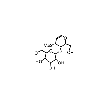 CS[C@@H]1C=COC(CO)[C@H]1OC1OC(CO)C(O)C(O)C1O